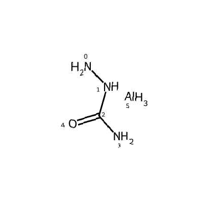 NNC(N)=O.[AlH3]